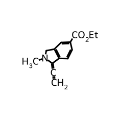 C=C=C1c2ccc(C(=O)OCC)cc2CN1C